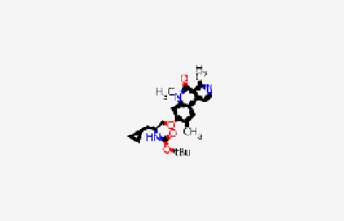 Cc1cc2c3ccnc(C)c3c(=O)n(C)c2cc1OC[C@H](CC1CC1)NC(=O)OC(C)(C)C